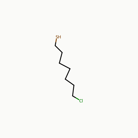 SCCCCCCCCl